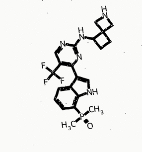 CP(C)(=O)c1cccc2c(-c3nc(NC4CCC45CNC5)ncc3C(F)(F)F)c[nH]c12